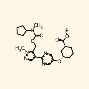 CC(C)OC(=O)[C@H]1CCC[C@H](Oc2cnc(-c3cnn(C)c3COC(=O)N(C)C3CCCC3)nc2)C1